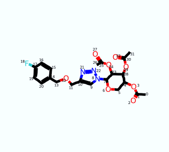 CC(=O)OC1COC(n2cc(COCc3ccc(F)cc3)nn2)C(OC(C)=O)C1OC(C)=O